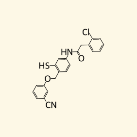 N#Cc1cccc(OCc2ccc(NC(=O)Cc3ccccc3Cl)cc2S)c1